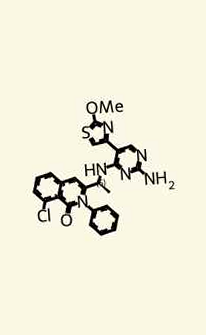 COc1nc(-c2cnc(N)nc2N[C@@H](C)c2cc3cccc(Cl)c3c(=O)n2-c2ccccc2)cs1